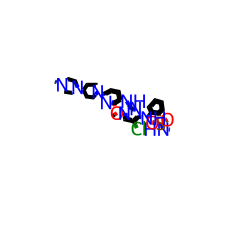 CNS(=O)(=O)c1ccccc1Nc1nc(Nc2ccc(N3CCC(N4CCN(C)CC4)CC3)nc2OC)ncc1Cl